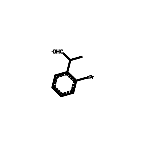 CCCc1ccccc1C(C)[C]=O